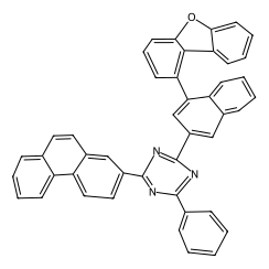 c1ccc(-c2nc(-c3cc(-c4cccc5oc6ccccc6c45)c4ccccc4c3)nc(-c3ccc4c(ccc5ccccc54)c3)n2)cc1